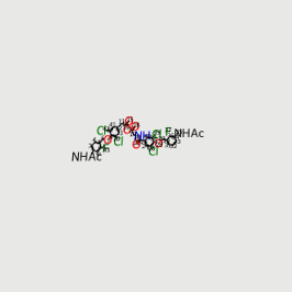 CC(=O)Nc1cccc(COc2c(Cl)cc(CC(=O)OC(=O)CNC(=O)c3cc(Cl)c(OCc4cccc(NC(C)=O)c4F)c(Cl)c3)cc2Cl)c1F